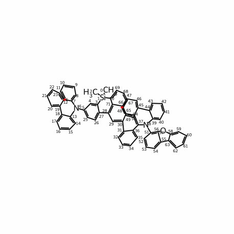 C[Si]1(C)c2cc(N(c3ccccc3)c3ccccc3-c3ccccc3)ccc2-c2cc3c4ccccc4c(N(c4ccccc4-c4ccccc4)c4cccc5c4oc4ccccc45)cc3c3cccc1c23